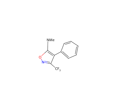 CNc1onc(C(F)(F)F)c1-c1ccccc1